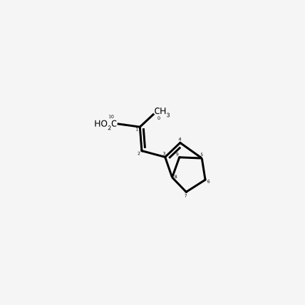 CC(=CC1=CC2CCC1C2)C(=O)O